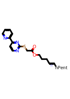 CCCCC/C=C/CCCOC(=O)CSc1nccc(-c2ccccn2)n1